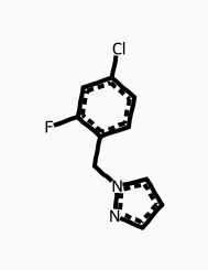 Fc1cc(Cl)ccc1Cn1cccn1